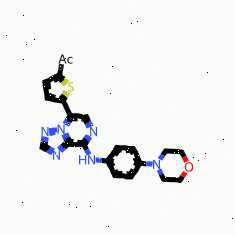 CC(=O)c1ccc(-c2cnc(Nc3ccc(N4CCOCC4)cc3)c3ncnn23)s1